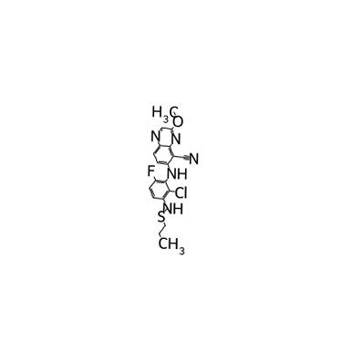 CCCSNc1ccc(F)c(Nc2ccc3ncc(OC)nc3c2C#N)c1Cl